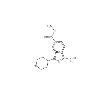 COC(=O)c1ccc2c(C)nn(C3CCNCC3)c2c1.Cl